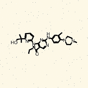 CCn1c(=O)c2cnc(Nc3ccc(N4CCN(C)CC4)c(C)c3)nc2n1-c1cccc(C(C)(C)CO)n1